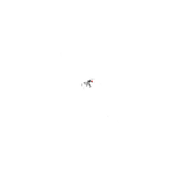 CCCCCCCCCCCCCCCCCC(=O)O[N+](C)(CC)OC(=O)CCCCCCCCCCCCCCCCC.[Br-]